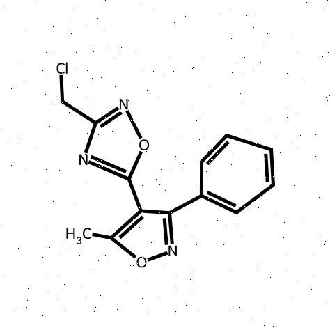 Cc1onc(-c2ccccc2)c1-c1nc(CCl)no1